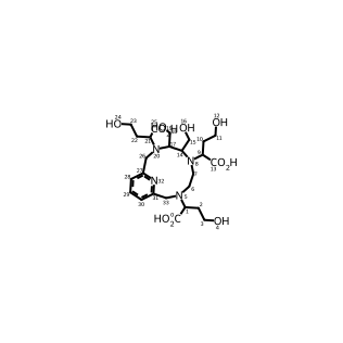 O=C(O)C(CCO)N1CCN(C(CCO)C(=O)O)C(CO)C(CO)N(C(CCO)C(=O)O)Cc2cccc(n2)C1